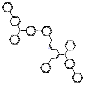 C1=CCC(N(/C(=C/Cc2ccccc2)C/C=C\Cc2cccc(-c3ccc(N(C4=CC=C(c5ccccc5)CC4)c4ccccc4)cc3)c2)c2ccc(-c3ccccc3)cc2)C=C1